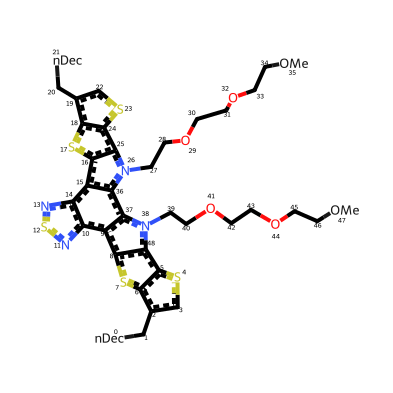 CCCCCCCCCCCc1csc2c1sc1c3c4nsnc4c4c5sc6c(CCCCCCCCCCC)csc6c5n(CCOCCOCCOC)c4c3n(CCOCCOCCOC)c21